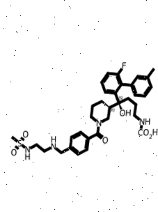 Cc1cccc(-c2c(F)cccc2[C@](O)(CCCNC(=O)O)[C@@H]2CCCN(C(=O)c3ccc(CNCCNS(C)(=O)=O)cc3)C2)c1